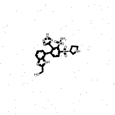 NS(=O)(=O)c1c(S(=O)(=O)[C@H]2CCNC2)ccc(-c2cccc3nc(CO)[nH]c23)c1-c1nn[nH]n1